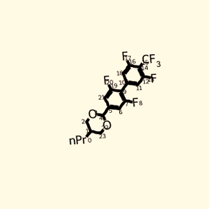 CCCC1COC(c2cc(F)c(-c3cc(F)c(C(F)(F)F)c(F)c3)c(F)c2)OC1